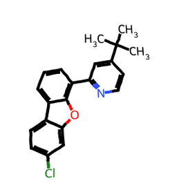 CC(C)(C)c1ccnc(-c2cccc3c2oc2cc(Cl)ccc23)c1